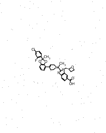 CC(c1nc2ccc(C(=O)O)cc2n1C[C@@H]1CCO1)N1CC=C(c2cccc3c2O[C@@](C)(c2ccc(Cl)cc2F)O3)CC1